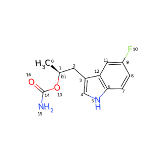 C[C@@H](Cc1c[nH]c2ccc(F)cc12)OC(N)=O